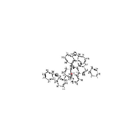 c1ccc(-c2ccc(N(c3ccc(-c4cccc5c4oc4ccccc45)cc3)c3cccc4oc5ccccc5c34)c(-c3ccccc3)c2)cc1